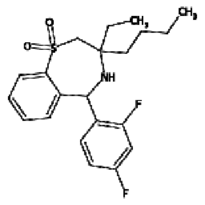 CCCCC1(CC)CS(=O)(=O)c2ccccc2C(c2ccc(F)cc2F)N1